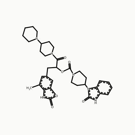 Cc1cc(CC(OC(=O)N2CCC(n3c(=O)[nH]c4ccccc43)CC2)C(=O)N2CCC(N3CCCCC3)CC2)cc2oc(=O)[nH]c12